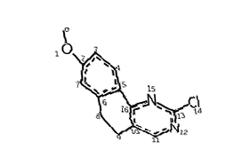 COc1ccc2c(c1)CCc1cnc(Cl)nc1-2